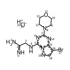 N=C(N)CNc1nc(N2CCOCC2)nc2c(Br)cnn12.[Cl-].[H+]